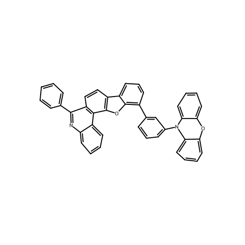 c1ccc(-c2nc3ccccc3c3c2ccc2c4cccc(-c5cccc(N6c7ccccc7Oc7ccccc76)c5)c4oc23)cc1